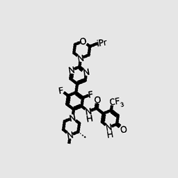 CC(C)C1CN(c2ncc(-c3c(F)cc(N4CCN(C)[C@@H](C)C4)c(NC(=O)c4c[nH]c(=O)cc4C(F)(F)F)c3F)cn2)CCO1